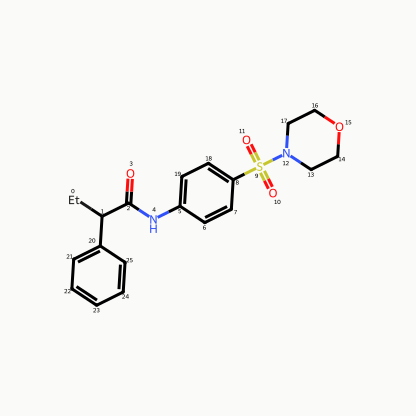 CCC(C(=O)Nc1ccc(S(=O)(=O)N2CCOCC2)cc1)c1ccccc1